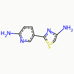 Nc1ccc(-c2nc(N)cs2)cn1